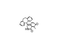 Cc1c2n(ccc1=O)N(C1c3ccccc3CCc3ccccc31)CNC2=O